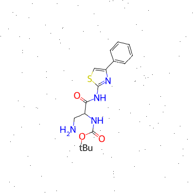 CC(C)(C)OC(=O)NC(CN)C(=O)Nc1nc(-c2ccccc2)cs1